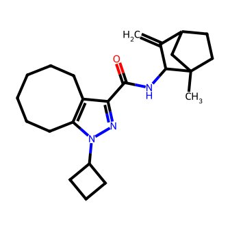 C=C1C2CCC(C)(C2)C1NC(=O)c1nn(C2CCC2)c2c1CCCCCC2